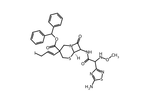 CONC(C(=O)NC1C(=O)N2CC(C=CCI)(C(=O)OC(c3ccccc3)c3ccccc3)CS[C@H]12)c1nsc(N)n1